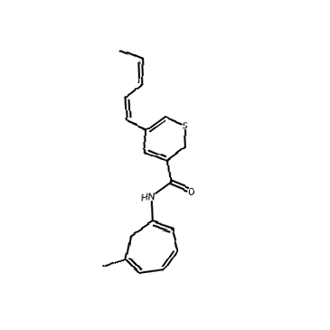 C/C=C\C=C/C1=CSCC(C(=O)NC2=CC=CC=C(C)C2)=C1